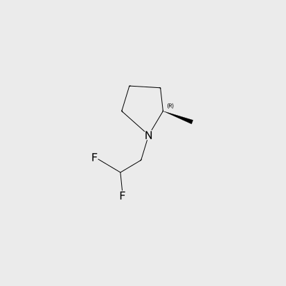 C[C@@H]1CCCN1CC(F)F